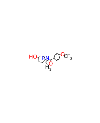 CC1(NC(=O)c2ccc(OC(F)(F)F)cc2)CCC(O)CC1